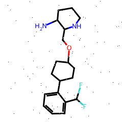 NC1CCCNC1COC1CCC(c2ccccc2C(F)F)CC1